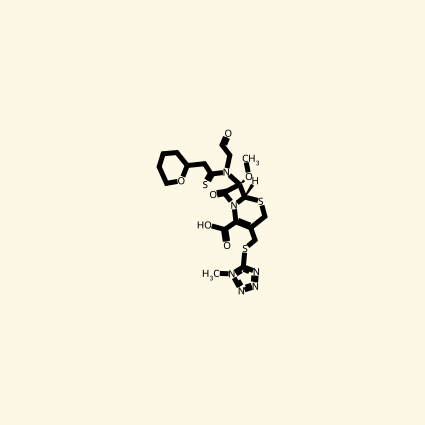 CO[C@@]1(N(CC=O)C(=S)CC2CCCCO2)C(=O)N2C(C(=O)O)=C(CSc3nnnn3C)CS[C@H]21